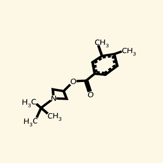 Cc1ccc(C(=O)OC2CN(C(C)(C)C)C2)cc1C